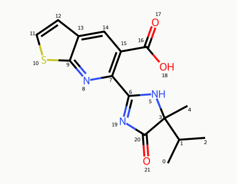 CC(C)C1(C)NC(c2nc3sccc3cc2C(=O)O)=NC1=O